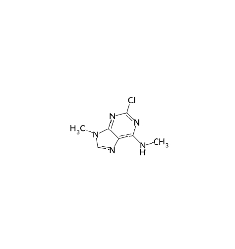 CNc1nc(Cl)nc2c1ncn2C